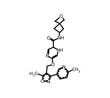 Cc1ccc(-c2noc(C)c2COC2=CNC(C(=O)NC3CC4(COC4)C3)C=N2)cn1